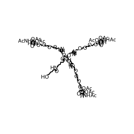 CC(=O)N[C@H]1[C@@H]2OC[C@](COCCOCCOCCOCCn3cc(COCC(COCc4cn(CCOCCOCCOCCOC[C@@]56CO[C@H](O5)[C@H](NC(C)=O)[C@@H](OC(C)=O)[C@H]6OC(C)=O)nn4)(COCc4cn(CCOCCOCCOCCOC[C@@]56CO[C@@H](O5)[C@H](NC(C)=O)[C@@H](OC(C)=O)[C@H]6OC(C)=O)nn4)NC(=O)CCCCCNC(=O)CCCCCO)nn3)(O2)[C@H](OC(C)=O)[C@@H]1OC(C)=O